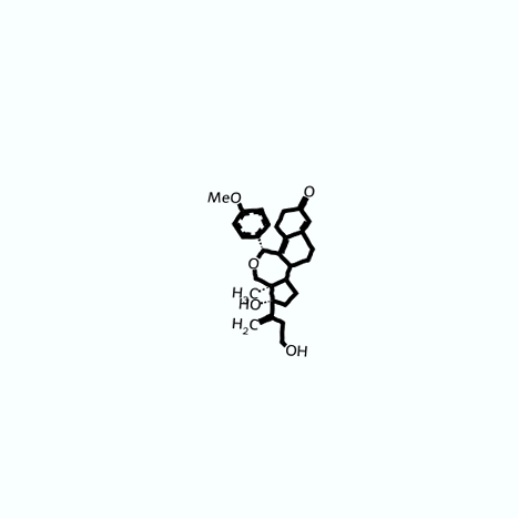 C=C(CCO)[C@]1(O)CCC2C3CCC4=CC(=O)CCC4=C3[C@@H](c3ccc(OC)cc3)OC[C@@]21C